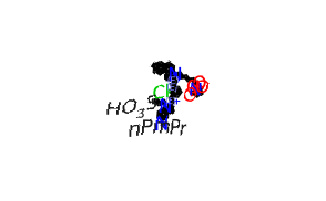 CCCN(CCC)c1ccc2c(c1)C(C)(C)C(/C=C/C1=C(Cl)C(=C/C=C3/N(CCCCCC(=O)ON4C(=O)CCC4=O)c4ccc5cc(C)ccc5c4C3(C)C)/CCC1)=[N+]2CCCS(=O)(=O)O